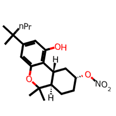 CCCC(C)(C)c1cc(O)c2c(c1)OC(C)(C)[C@@H]1CC[C@@H](O[N+](=O)[O-])C[C@@H]21